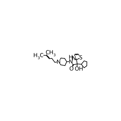 CC(C)=CCCN1CCC(NC(=O)C(O)(c2nccs2)C2CCCC2)CC1